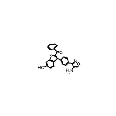 Nc1conc1-c1ccc(-c2c(C(=O)c3ccccc3)sc3cc(O)ccc23)cc1